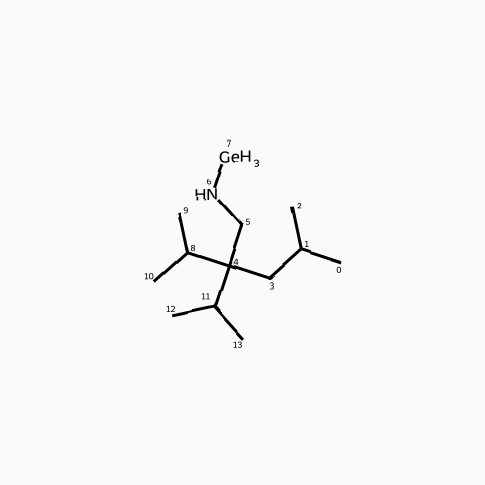 CC(C)CC(C[NH][GeH3])(C(C)C)C(C)C